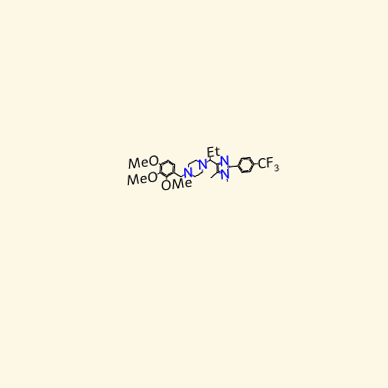 CCC(c1nc(-c2ccc(C(F)(F)F)cc2)n(C)c1C)N1CCN(Cc2ccc(OC)c(OC)c2OC)CC1